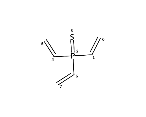 C=CP(=S)(C=C)C=C